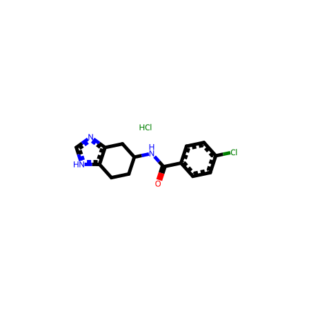 Cl.O=C(NC1CCc2[nH]cnc2C1)c1ccc(Cl)cc1